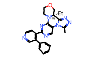 CC[C@@]12COCCN1c1nc(-c3ccncc3-c3ccccc3)ncc1-n1c(C)nnc12